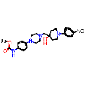 CC(C)(C)OC(=O)Nc1ccc(N2CCN(CC3(O)CCN(c4ccc([N+](=O)[O-])cc4)CC3)CC2)cc1